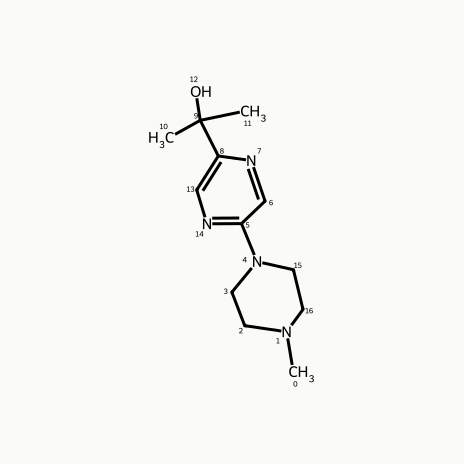 CN1CCN(c2cnc(C(C)(C)O)cn2)CC1